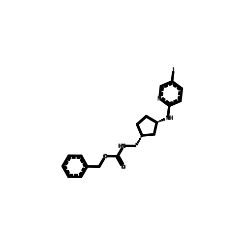 O=C(NC[C@@H]1CC[C@H](Nc2ccc(I)cn2)C1)OCc1ccccc1